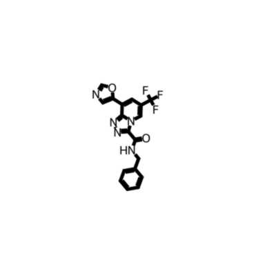 O=C(NCc1ccccc1)c1nnc2c(-c3cnco3)cc(C(F)(F)F)cn12